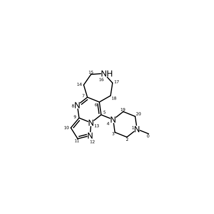 CN1CCN(c2c3c(nc4ccnn24)CCNCC3)CC1